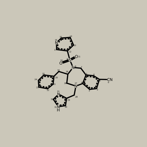 N#Cc1ccc2c(c1)CN(S(=O)(=O)c1cccnc1)C(Cc1ccccc1)CN2Cc1c[nH]cn1